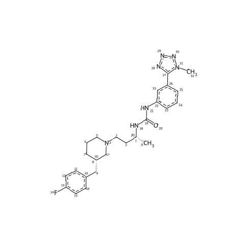 C[C@H](CCN1CCC[C@@H](Cc2ccc(F)cc2)C1)NC(=O)Nc1cccc(-c2nnnn2C)c1